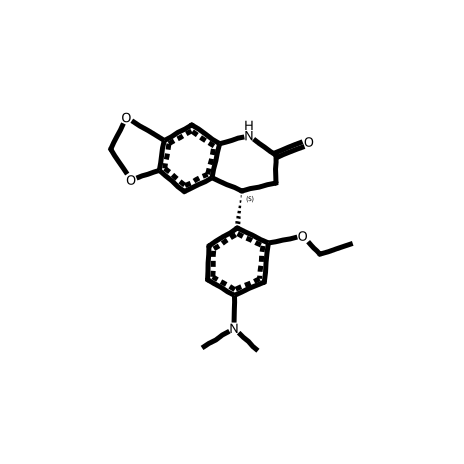 CCOc1cc(N(C)C)ccc1[C@H]1CC(=O)Nc2cc3c(cc21)OCO3